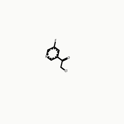 O=C(CCl)c1cncc(F)c1